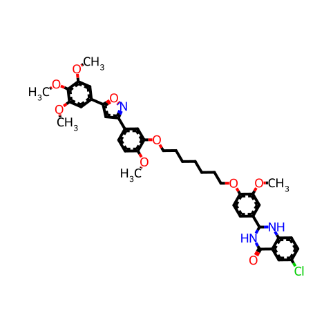 COc1cc(C2NC(=O)c3cc(Cl)ccc3N2)ccc1OCCCCCCCOc1cc(-c2cc(-c3cc(OC)c(OC)c(OC)c3)on2)ccc1OC